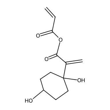 C=CC(=O)OC(=O)C(=C)C1(O)CCC(O)CC1